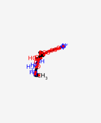 Cc1ccnc(NCCC[C@H](N)C(=O)NCC(=O)N[C@@H](CC(=O)O)c2ccc(-c3ccc(OCCOCCOCCOCCOCCN=[N+]=[N-])c4ccccc34)cc2)c1